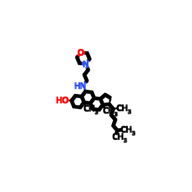 CC(C)CCC[C@@H](C)[C@H]1CCC2C3C[C@@H](NCCCN4CCOCC4)C4C[C@@H](O)CC[C@]4(C)C3CC[C@@]21C